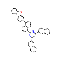 c1ccc2cc(-c3cc(-c4ccc5ccccc5c4)nc(-c4cccc5c(-c6ccc7c(c6)oc6ccccc67)cccc45)n3)ccc2c1